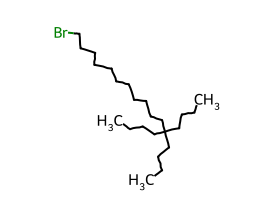 CCCCC(CCCC)(CCCC)CCCCCCCCCCCBr